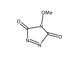 CON1C(=O)N=NC1=O